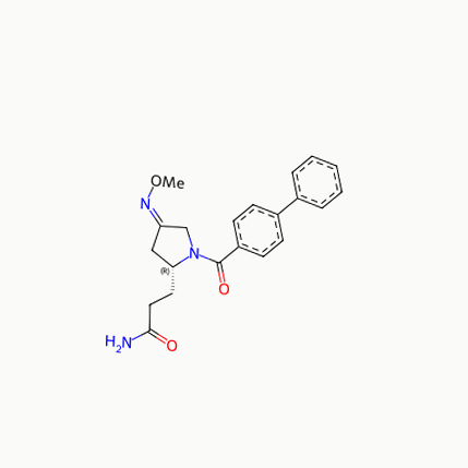 CON=C1C[C@@H](CCC(N)=O)N(C(=O)c2ccc(-c3ccccc3)cc2)C1